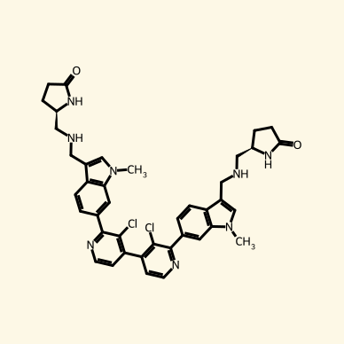 Cn1cc(CNC[C@H]2CCC(=O)N2)c2ccc(-c3nccc(-c4ccnc(-c5ccc6c(CNC[C@H]7CCC(=O)N7)cn(C)c6c5)c4Cl)c3Cl)cc21